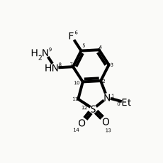 CCN1c2ccc(F)c(NN)c2CS1(=O)=O